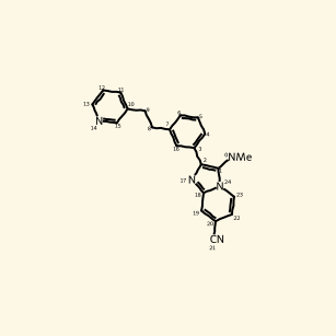 CNc1c(-c2cccc(CCc3cccnc3)c2)nc2cc(C#N)ccn12